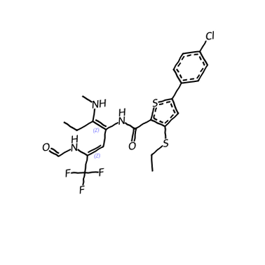 CCSc1cc(-c2ccc(Cl)cc2)sc1C(=O)NC(/C=C(\NC=O)C(F)(F)F)=C(/CC)NC